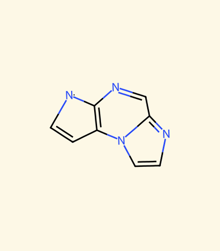 C1=Cc2c(ncc3nccn23)[N]1